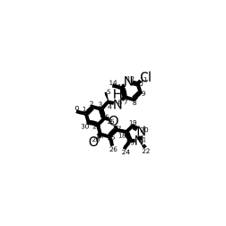 Cc1cc([C@@H](C)Nc2ccc(Cl)nc2C)c2oc(-c3cnn(C)c3C)c(C)c(=O)c2c1